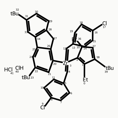 CCC1=[C]([Zr](=[CH]c2ccc(Cl)cc2)(=[CH]c2ccc(Cl)cc2)[c]2cc(C(C)(C)C)cc3c2Cc2ccc(C(C)(C)C)cc2-3)C(CC)C=C1C(C)(C)C.Cl.Cl